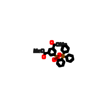 COC(=O)c1cc(C(=O)OC)cc(S(=O)(=O)OS(c2ccccc2)(c2ccccc2)c2ccccc2)c1